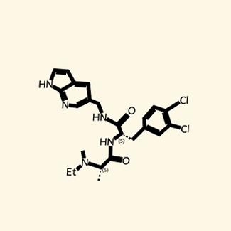 CCN(C)[C@@H](C)C(=O)N[C@@H](Cc1ccc(Cl)c(Cl)c1)C(=O)NCc1cnc2[nH]ccc2c1